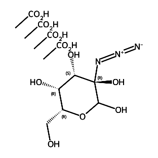 CC(=O)O.CC(=O)O.CC(=O)O.CC(=O)O.[N-]=[N+]=N[C@]1(O)C(O)O[C@H](CO)[C@H](O)[C@@H]1O